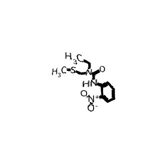 CCN(CSC)C(=O)Nc1ccccc1[N+](=O)[O-]